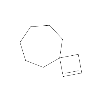 C1=CC2(C1)CCCCCC2